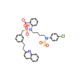 O=C(O)c1ccccc1N(CCCCN(c1ccc(Cl)cc1)[SH](=O)=O)S(=O)(=O)Cc1cccc(CCc2ccc3ccccc3n2)c1